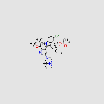 CCn1c(-c2cc(N3CCN4CCCC[C@@H]4C3)cnc2[C@H](C)OC)c(CC(C)(C)COC(C)=O)c2cc(Br)ccc21